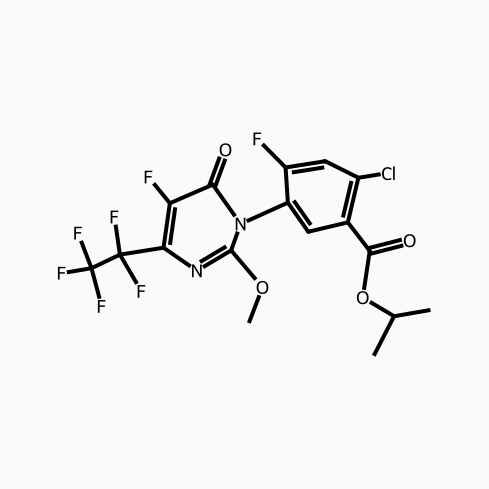 COc1nc(C(F)(F)C(F)(F)F)c(F)c(=O)n1-c1cc(C(=O)OC(C)C)c(Cl)cc1F